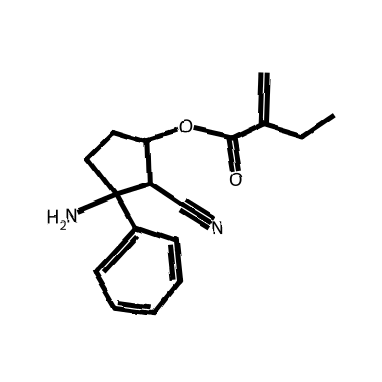 C=C(CC)C(=O)OC1CCC(N)(c2ccccc2)C1C#N